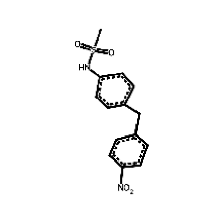 CS(=O)(=O)Nc1ccc(Cc2ccc([N+](=O)[O-])cc2)cc1